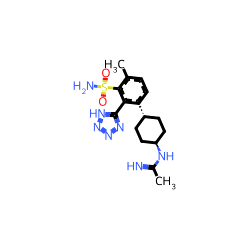 CC(=N)N[C@H]1CC[C@H](c2ccc(C)c(S(N)(=O)=O)c2-c2nnn[nH]2)CC1